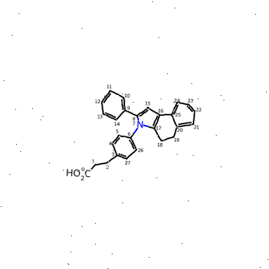 O=C(O)CCc1ccc(-n2c(-c3ccccc3)cc3c2CCc2ccccc2-3)cc1